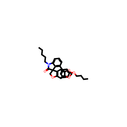 CCCCCN1C(=O)C2(COc3cc4c(cc32)OCO4)c2c(-c3cccc(OCCCC)c3)cccc21